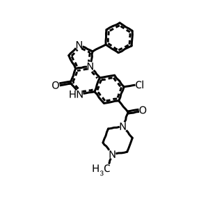 CN1CCN(C(=O)c2cc3[nH]c(=O)c4cnc(-c5ccccc5)n4c3cc2Cl)CC1